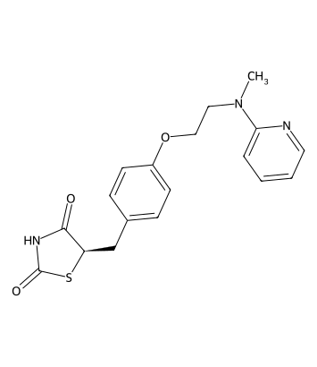 CN(CCOc1ccc(C[C@H]2SC(=O)NC2=O)cc1)c1ccccn1